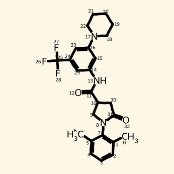 Cc1cccc(C)c1N1CC(C(=O)Nc2cc(N3CCCCC3)cc(C(F)(F)F)c2)CC1=O